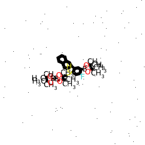 CC1(C)OB(B2OC(C)(C)C(C)(C[SH]3c4cc(F)c(B5OC(C)(C)C(C)(C)O5)cc4-c4cc5ccccc5cc43)O2)OC1(C)C